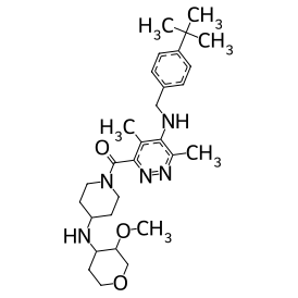 COC1COCCC1NC1CCN(C(=O)c2nnc(C)c(NCc3ccc(C(C)(C)C)cc3)c2C)CC1